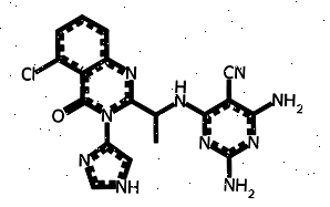 CC(Nc1nc(N)nc(N)c1C#N)c1nc2cccc(Cl)c2c(=O)n1-c1c[nH]cn1